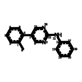 Cc1ccccc1-c1cnc(Nc2ccccc2)nc1